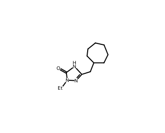 CCn1nc(CC2CCCCCC2)[nH]c1=O